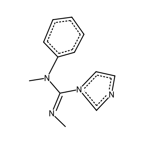 CN=C(N(C)c1ccccc1)n1ccnc1